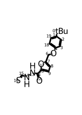 CC(C)(C)c1ccc(OCc2ccc(C(=O)NNC=S)o2)cc1